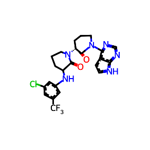 O=C1[C@H](N2CCCC(Nc3cc(Cl)cc(C(F)(F)F)c3)C2=O)CCCN1c1ncnc2[nH]ccc12